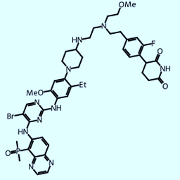 CCc1cc(Nc2ncc(Br)c(Nc3ccc4nccnc4c3P(C)(C)=O)n2)c(OC)cc1N1CCC(NCCN(CCOC)CCc2ccc(C3CCC(=O)NC3=O)c(F)c2)CC1